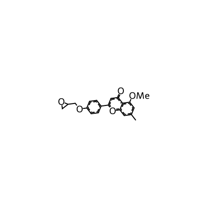 COc1cc(C)cc2oc(-c3ccc(OCC4CO4)cc3)cc(=O)c12